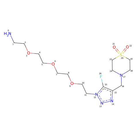 NCCOCCOCCOCCn1nnc(CN2CCS(=O)(=O)CC2)c1F